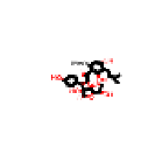 COc1cc(O)c(CC=C(C)C)c(O)c1C(=O)CC(c1ccc(O)cc1)C1(O)C(=O)OC2C(O)COC21O